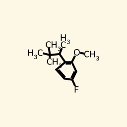 COc1cc(F)ccc1C(C)C(C)(C)C